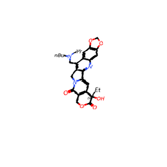 CCCCN(Cc1c2c(nc3cc4c(cc13)OCO4)-c1cc3c(c(=O)n1C2)COC(=O)[C@]3(O)CC)C(C)C